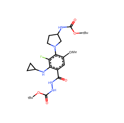 COc1cc(C(=O)NNC(=O)OC(C)(C)C)c(NC2CC2)c(F)c1N1CCC(NC(=O)OC(C)(C)C)C1